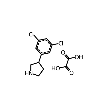 Clc1cc(Cl)cc(C2CCNC2)c1.O=C(O)C(=O)O